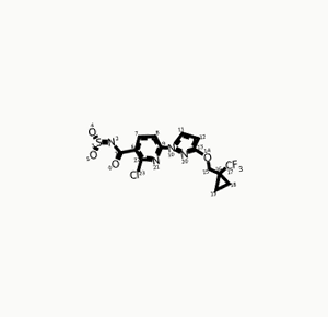 O=C(N=S(=O)=O)c1ccc(-n2ccc(OCC3(C(F)(F)F)CC3)n2)nc1Cl